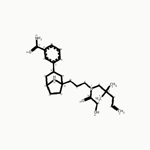 C=CCC(C)(C)CN(CCCC12CCC(CC(c3cccc(C(N)=O)c3)C1)N2)C(=O)CO